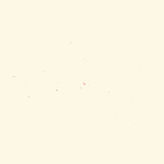 COc1cccc(OC)c1[Si@@H](c1ccccc1)c1ccccc1P1Cc2ccc3ccccc3c2-c2c(ccc3ccccc23)C1